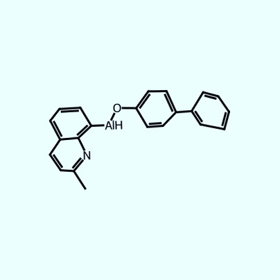 Cc1ccc2ccc[c]([AlH][O]c3ccc(-c4ccccc4)cc3)c2n1